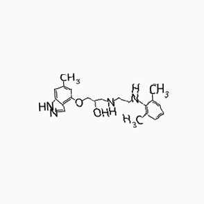 Cc1cc(OCC(O)CNCCNc2c(C)cccc2C)c2cn[nH]c2c1